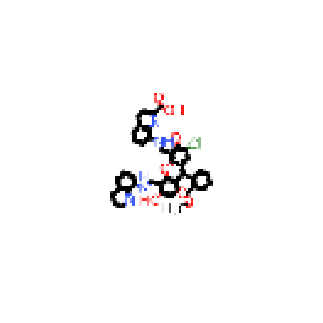 COC(=O)c1ccccc1-c1c2cc(Cl)c(=O)c(CNc3cccc4ccc(C(=O)O)nc34)c-2oc2c(CNc3cccc4cccnc34)c(O)ccc12